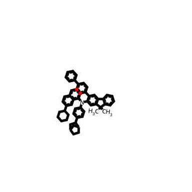 CC1(C)c2ccccc2-c2cc(-c3ccc(-c4ccccc4)cc3)c(N(c3ccc(C4CC5CCC4C5)cc3)c3cccc4ccc(C5CCCCC5)cc34)cc21